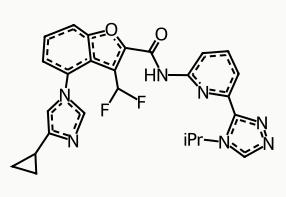 CC(C)n1cnnc1-c1cccc(NC(=O)c2oc3cccc(-n4cnc(C5CC5)c4)c3c2C(F)F)n1